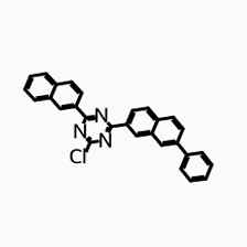 Clc1nc(-c2ccc3ccccc3c2)nc(-c2ccc3ccc(-c4ccccc4)cc3c2)n1